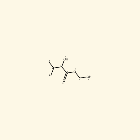 CC(C)C(O)C(=O)OCO